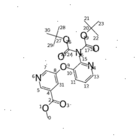 COC(=O)c1cncc(Oc2cccnc2N(C(=O)OC(C)(C)C)C(=O)OC(C)(C)C)c1